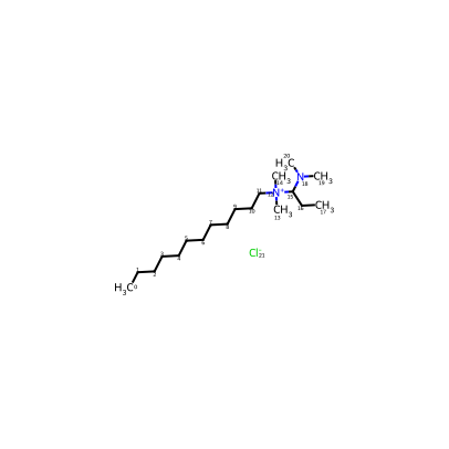 CCCCCCCCCCCC[N+](C)(C)C(CC)N(C)C.[Cl-]